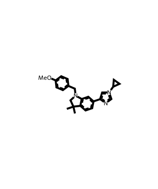 COc1ccc(CN2CC(C)(C)c3ccc(-c4cn(C5CC5)cn4)cc32)cc1